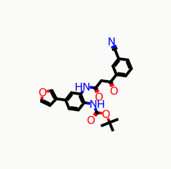 CC(C)(C)OC(=O)Nc1ccc(-c2ccoc2)cc1NC(=O)CC(=O)c1cccc(C#N)c1